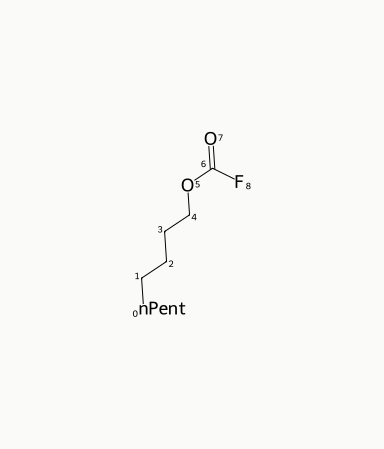 CCCCCCCCCOC(=O)F